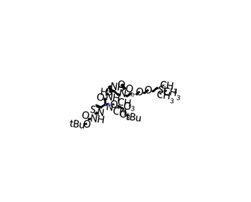 CC(C)(C)OC(=O)Nc1nc(/C(=N/OC(C)(C)C(=O)OC(C)(C)C)C(=O)N[C@H]2C3NC2(CN2C[C@@H](COCOCC[Si](C)(C)C)OC2=O)O3)cs1